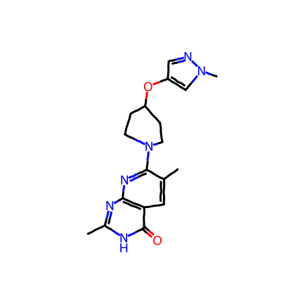 Cc1nc2nc(N3CCC(Oc4cnn(C)c4)CC3)c(C)cc2c(=O)[nH]1